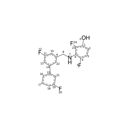 Oc1ccc(F)c(NCc2cc(F)cc(-c3cccc(F)c3)c2)c1F